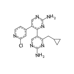 Nc1ncc(-c2nc(N)ncc2-c2ccnc(Cl)c2)c(CC2CC2)n1